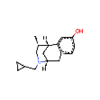 C[C@@H]1CN(CC2CC2)[C@H]2Cc3ccc(O)cc3[C@@H]1C2